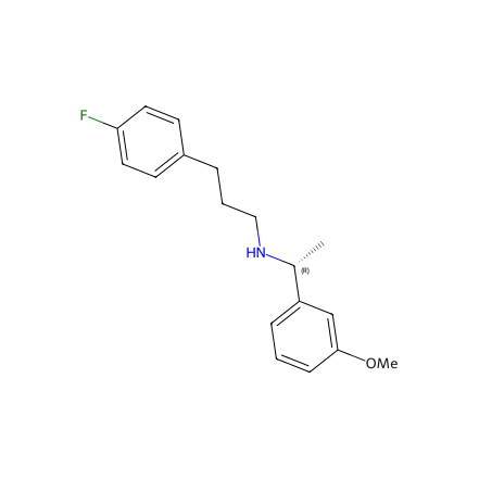 COc1cccc([C@@H](C)NCCCc2ccc(F)cc2)c1